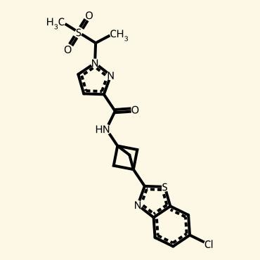 CC(n1ccc(C(=O)NC23CC(c4nc5ccc(Cl)cc5s4)(C2)C3)n1)S(C)(=O)=O